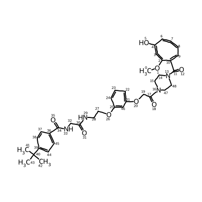 COC1=C=C(O)C=C=C/C=C\1C(=O)N1CCN(C(=O)COc2cccc(OCCNC(=O)CNC(=O)c3ccc(C(C)(C)C)cc3)c2)CC1